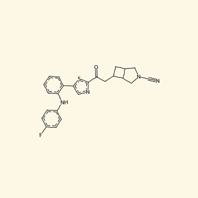 N#CN1CC2CC(CC(=O)c3ncc(-c4ccccc4Nc4ccc(F)cc4)s3)C2C1